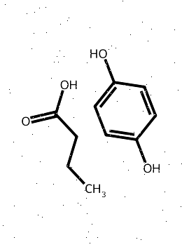 CCCC(=O)O.Oc1ccc(O)cc1